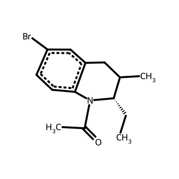 CC[C@H]1C(C)Cc2cc(Br)ccc2N1C(C)=O